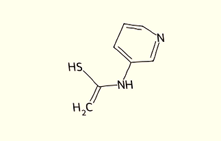 C=C(S)Nc1cccnc1